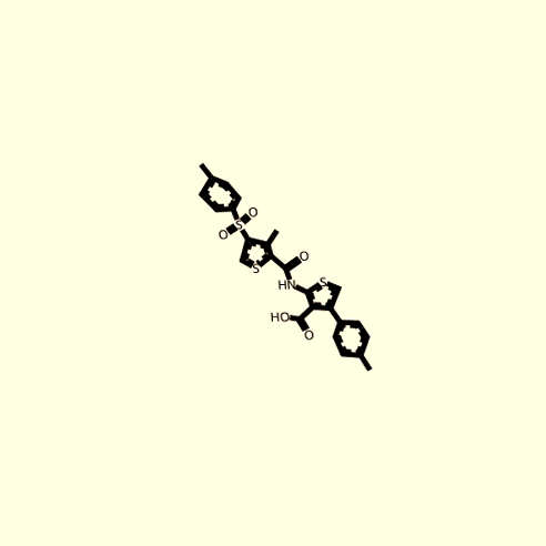 Cc1ccc(-c2csc(NC(=O)c3scc(S(=O)(=O)c4ccc(C)cc4)c3C)c2C(=O)O)cc1